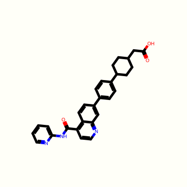 O=C(O)CC1CCC(c2ccc(-c3ccc4c(C(=O)Nc5ccccn5)ccnc4c3)cc2)CC1